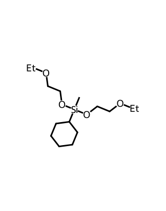 CCOCCO[Si](C)(OCCOCC)C1CCCCC1